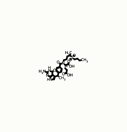 CCCCS(=O)(=O)C(C)CCCN(C(=O)c1ccc(C(C)c2c[nH]c3nc(N)[nH]c(=O)c23)cc1)[C@@H](CCC(=O)O)C(=O)O